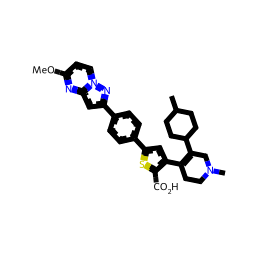 COc1ccn2nc(-c3ccc(-c4cc(C5=C(C6CCC(C)CC6)CN(C)CC5)c(C(=O)O)s4)cc3)cc2n1